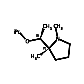 CC(C)O[C@@H](C)[C@]1(C)CCCN1C